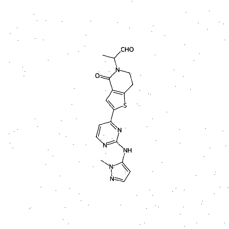 CC(C=O)N1CCc2sc(-c3ccnc(Nc4ccnn4C)n3)cc2C1=O